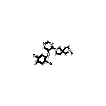 CN1CCC2(CCN(c3ncncc3Oc3cc(F)c(F)cc3Br)C2)C1